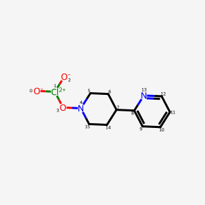 [O-][Cl+2]([O-])ON1CCC(c2ccccn2)CC1